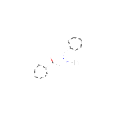 CC(C)N(CC(=O)c1ccccc1)Cc1ccccc1